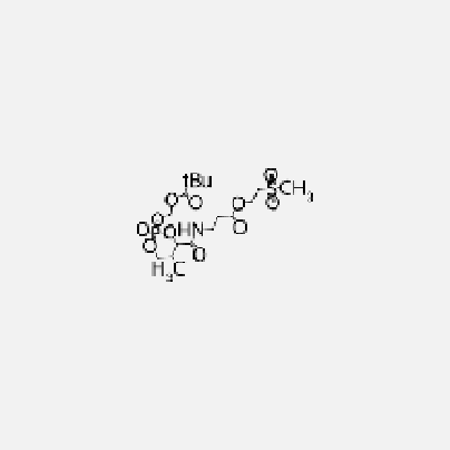 CC1CO[P@](=O)(OCOC(=O)C(C)(C)C)O[C@H]1C(=O)NCCC(=O)OCCS(C)(=O)=O